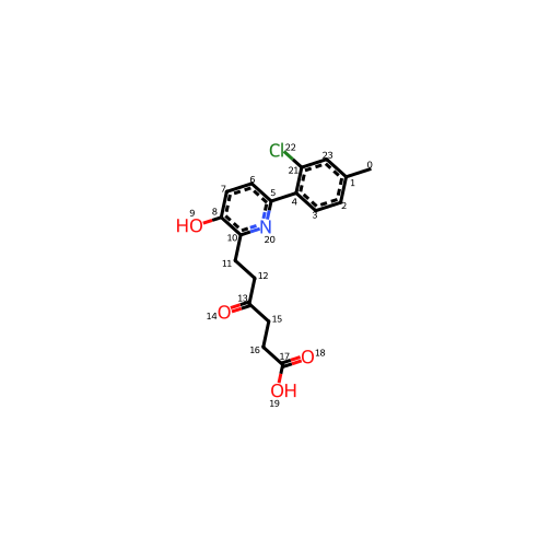 Cc1ccc(-c2ccc(O)c(CCC(=O)CCC(=O)O)n2)c(Cl)c1